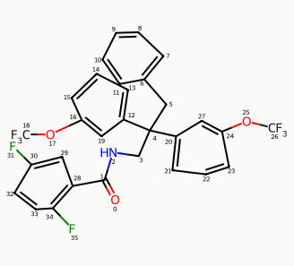 O=C(NCC(Cc1ccccc1)(c1cccc(OC(F)(F)F)c1)c1cccc(OC(F)(F)F)c1)c1cc(F)ccc1F